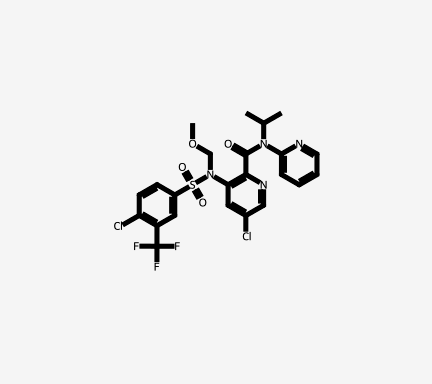 COCN(c1cc(Cl)cnc1C(=O)N(c1ccccn1)C(C)C)S(=O)(=O)c1ccc(Cl)c(C(F)(F)F)c1